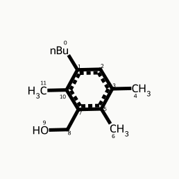 CCCCc1cc(C)c(C)c(CO)c1C